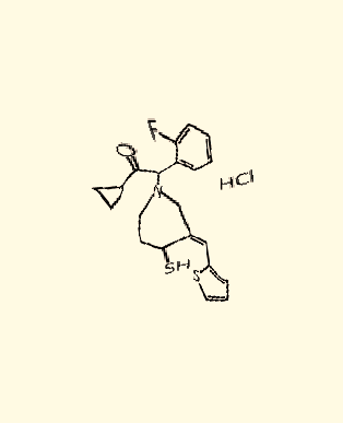 Cl.O=C(C1CC1)C(c1ccccc1F)N1CCC(S)/C(=C\c2cccs2)C1